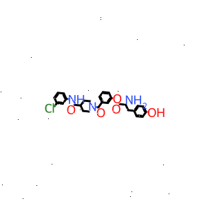 N[C@H](Cc1ccc(O)cc1)C(=O)Oc1cccc(C(=O)N2CCC(C(=O)Nc3cccc(Cl)c3)CC2)c1